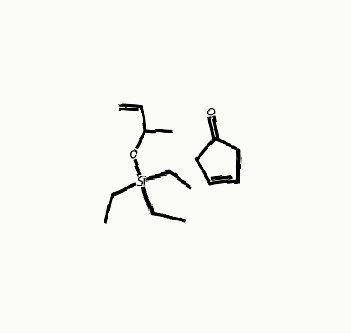 C=CC(C)O[Si](CC)(CC)CC.O=C1CC=CC1